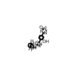 Cn1cnc(-c2ccc(-c3nnc(O[C@@H]4[C@@H]5CC[C@@](C)(NC5)[C@H]4F)s3)c(O)c2)nc1=O